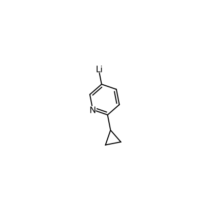 [Li][c]1ccc(C2CC2)nc1